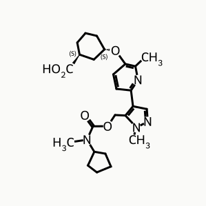 Cc1nc(-c2cnn(C)c2COC(=O)N(C)C2CCCC2)ccc1O[C@H]1CCC[C@H](C(=O)O)C1